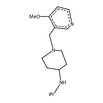 COc1ccncc1CN1CCC(NC(C)C)CC1